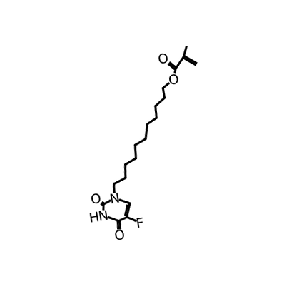 C=C(C)C(=O)OCCCCCCCCCCCn1cc(F)c(=O)[nH]c1=O